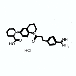 Cl.N=C(N)c1ccc(CCC(=O)N2CCCc3cc(N4CCCCC4C(=O)O)ccc32)cc1